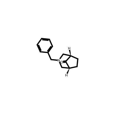 O=C1[C@@H]2CC[C@H]1CN(Cc1ccccc1)C2